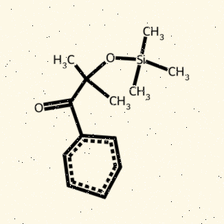 CC(C)(O[Si](C)(C)C)C(=O)c1ccccc1